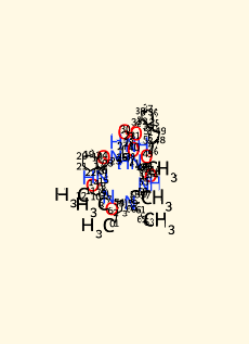 CCCC[C@H]1C(=O)N(C)[C@@H](CCC)C(=O)N[C@@H](C2CCCCC2)C(=O)N[C@@H](CNC(=O)OCc2ccccc2)C(=O)N[C@@H]([C@H](C)OCc2ccccc2)C(=O)N[C@H](C)CN1CCCC